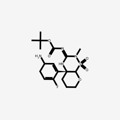 CN1/C(=N/C(=O)OC(C)(C)C)N[C@@]2(C3=CC(N)CC=C3F)CCCOC2S1(=O)=O